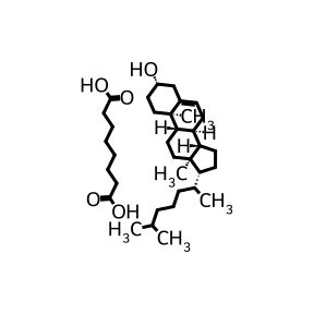 CC(C)CCCC(C)[C@H]1CC[C@H]2[C@@H]3CC=C4C[C@@H](O)CC[C@]4(C)[C@H]3CC[C@]12C.O=C(O)CCCCCCC(=O)O